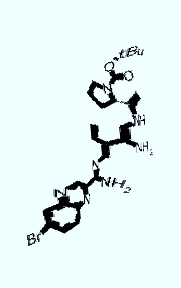 C=CC(=C\N=C(/N)c1cnc2cc(Br)ccc2n1)/C(N)=C/NC(=C)[C@@H]1CCCN1C(=O)OC(C)(C)C